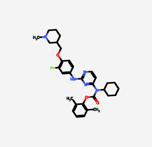 Cc1cccc(C)c1OC(=O)N(c1ccnc(Nc2ccc(OCC3CCCN(C)C3)c(F)c2)n1)C1CCCCC1